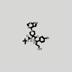 CC(C)(C)OC(=O)NC1(C(=O)NC(CCO)c2ccc(Br)cc2)CCN(c2ncnc3[nH]ccc23)CC1